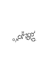 O=[N+]([O-])c1ccc(NCCN(Cc2cccc(I)c2)c2nccc(-c3cc[c]cc3)n2)nc1